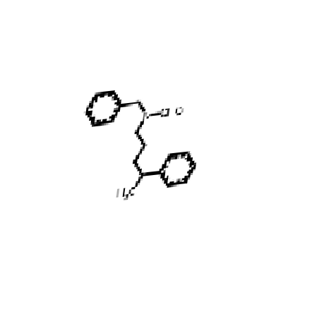 CC(CCCN(C=O)Cc1ccccc1)c1ccccc1